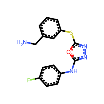 NCc1cccc(Sc2nnc(Nc3ccc(F)cc3)o2)c1